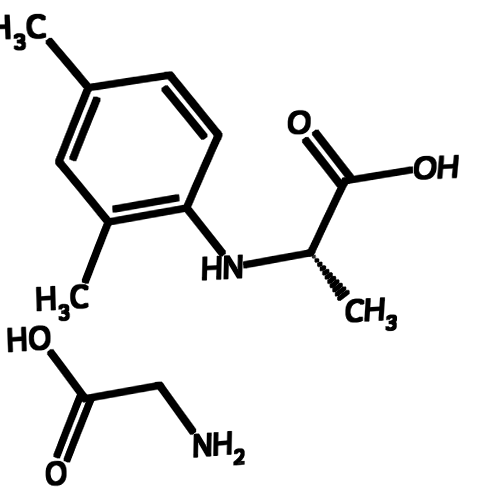 Cc1ccc(N[C@@H](C)C(=O)O)c(C)c1.NCC(=O)O